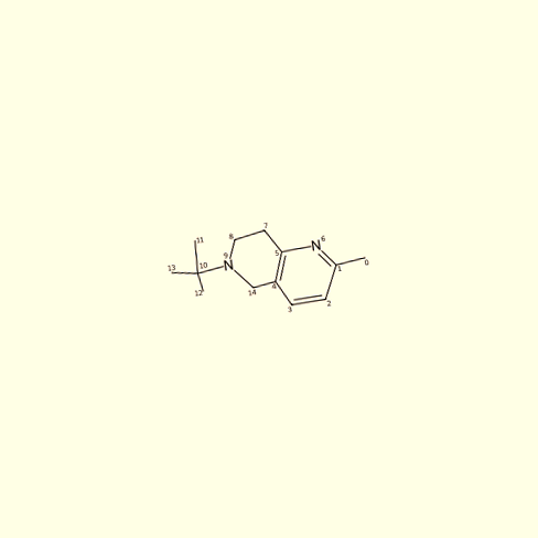 Cc1ccc2c(n1)CCN(C(C)(C)C)C2